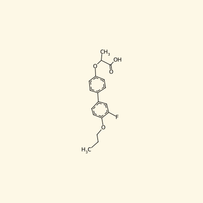 CCCOc1ccc(-c2ccc(OC(C)C(=O)O)cc2)cc1F